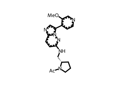 COc1cnccc1-c1cnc2ccc(NC[C@@H]3CCCN3C(C)=O)nn12